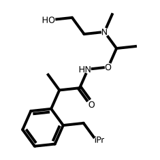 CC(C)Cc1ccccc1C(C)C(=O)NOC(C)N(C)CCO